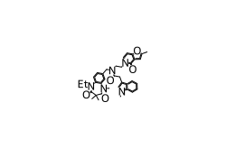 CCN1C(=O)C(C)(C)C(=O)N(C)c2cc(CN(CCn3ccc4oc(C)cc4c3=O)C(=O)Cc3cn(C)c4ccccc34)ccc21